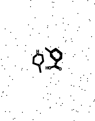 CN1CCNCC1.Cc1cccc(C(=O)O)c1